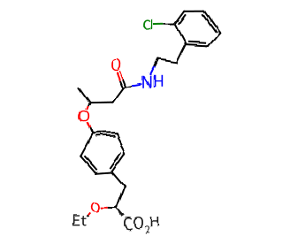 CCO[C@@H](Cc1ccc(OC(C)CC(=O)NCCc2ccccc2Cl)cc1)C(=O)O